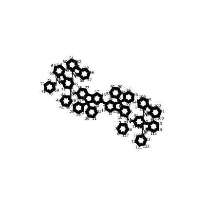 c1ccc(N(c2ccc3c(c2)-c2ccc(-c4ccc5c(c4)C(c4ccccc4)(c4ccccc4)c4cc(N(c6ccccc6)c6cc(-n7c8ccccc8c8ccccc87)c7c8ccccc8n(-c8ccccc8)c7c6)ccc4-5)cc2C3(c2ccccc2)c2ccccc2)c2cc(-n3c4ccccc4c4ccccc43)c3c4ccccc4n(-c4ccccc4)c3c2)cc1